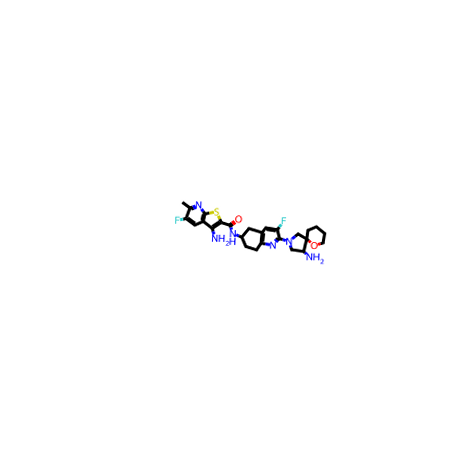 Cc1nc2sc(C(=O)NC3CCc4nc(N5CC(N)C6(CCCCO6)C5)c(F)cc4C3)c(N)c2cc1F